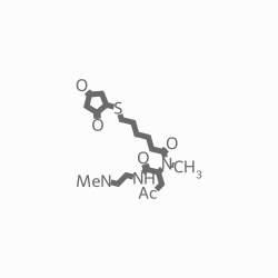 CNCCNC(=O)C(CC(C)=O)N(C)C(=O)CCCCCSC1CC(=O)CC1=O